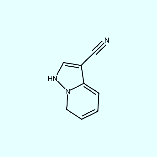 N#CC1=CNN2CC=CC=C12